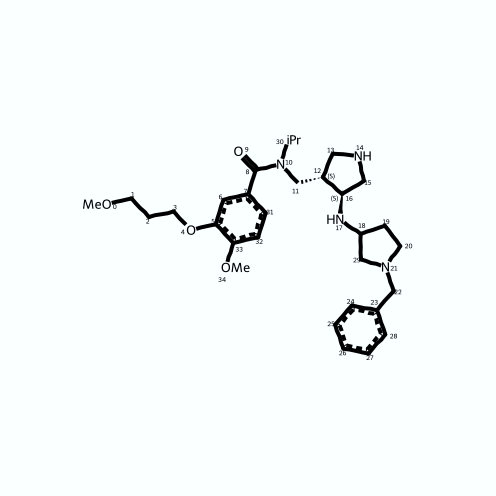 COCCCOc1cc(C(=O)N(C[C@@H]2CNC[C@H]2NC2CCN(Cc3ccccc3)C2)C(C)C)ccc1OC